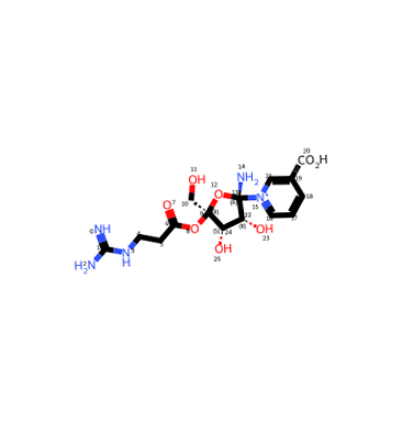 N=C(N)NCCC(=O)O[C@@]1(CO)O[C@](N)([n+]2cccc(C(=O)O)c2)[C@H](O)[C@@H]1O